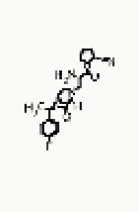 C[C@H](c1ccc(F)cc1)N1C(=O)[C@@H]2CC1CN2C[C@H](N)C(=O)N1CCC[C@H]1C#N